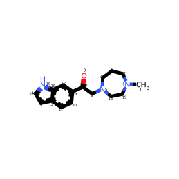 CN1CCCN(CC(=O)c2ccc3[c]c[nH]c3c2)CC1